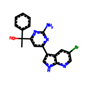 CC(O)(c1ccccc1)c1cc(-c2c[nH]c3ncc(Br)cc23)nc(N)n1